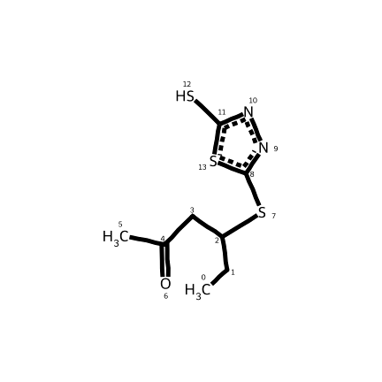 CCC(CC(C)=O)Sc1nnc(S)s1